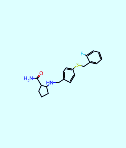 NC(=O)C1CCCC1NCc1ccc(SCc2ccccc2F)cc1